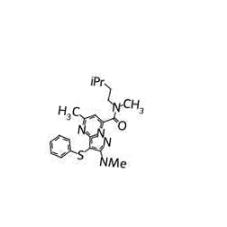 CNc1nn2c(C(=O)N(C)CCC(C)C)cc(C)nc2c1Sc1ccccc1